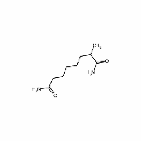 CC(CCCCCC(N)=O)C(N)=O